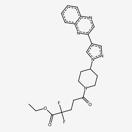 CCOC(=O)C(F)(F)CCC(=O)N1CCC(n2cc(-c3cnc4ccccc4n3)cn2)CC1